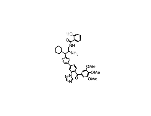 COc1cc(C(=O)c2ccc(-c3csc(C(C(N)CNC(=O)c4ccccc4O)C4CCCCC4)n3)cc2-n2cncn2)cc(OC)c1OC